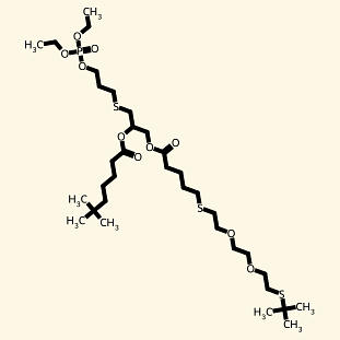 CCOP(=O)(OCC)OCCCSCC(COC(=O)CCCCSCCOCCOCCSC(C)(C)C)OC(=O)CCCCC(C)(C)C